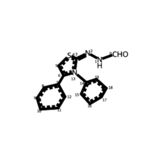 O=CNN=c1scc(-c2ccccc2)n1-c1ccccc1